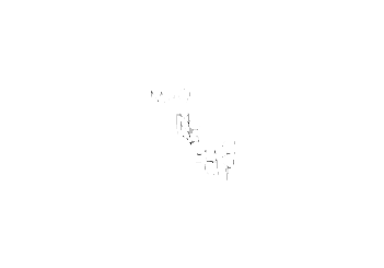 COCCCNC(=O)Nc1nc2cc(F)c(OC(C)c3c(Cl)ccc(F)c3Cl)cc2s1